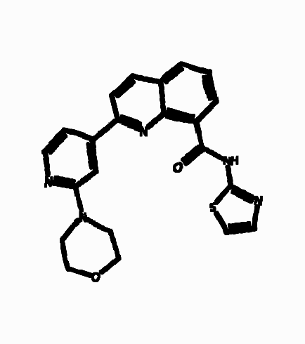 O=C(Nc1nccs1)c1cccc2ccc(-c3ccnc(N4CCOCC4)c3)nc12